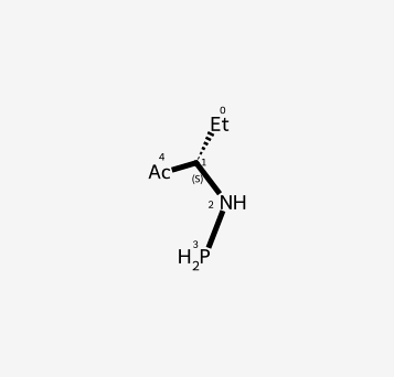 CC[C@H](NP)C(C)=O